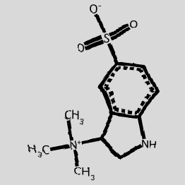 C[N+](C)(C)C1CNc2ccc(S(=O)(=O)[O-])cc21